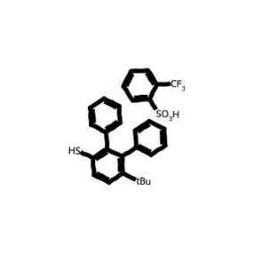 CC(C)(C)c1ccc(S)c(-c2ccccc2)c1-c1ccccc1.O=S(=O)(O)c1ccccc1C(F)(F)F